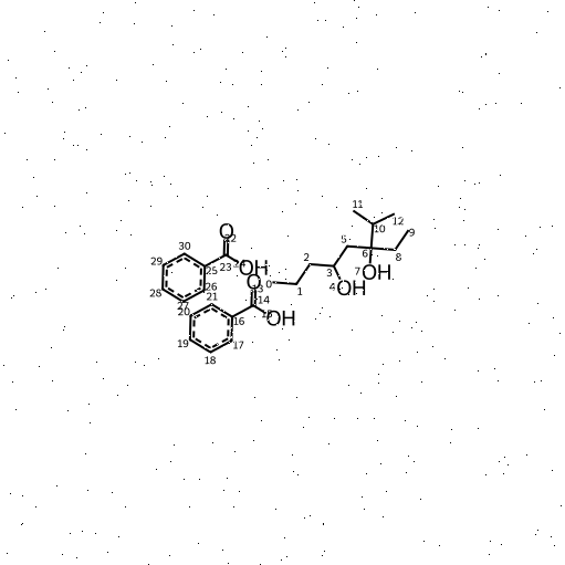 CCCC(O)CC(O)(CC)C(C)C.O=C(O)c1ccccc1.O=C(O)c1ccccc1